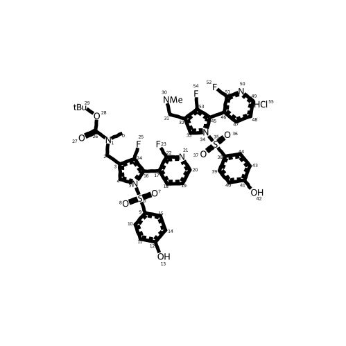 CN(Cc1cn(S(=O)(=O)c2ccc(O)cc2)c(-c2cccnc2F)c1F)C(=O)OC(C)(C)C.CNCc1cn(S(=O)(=O)c2ccc(O)cc2)c(-c2cccnc2F)c1F.Cl